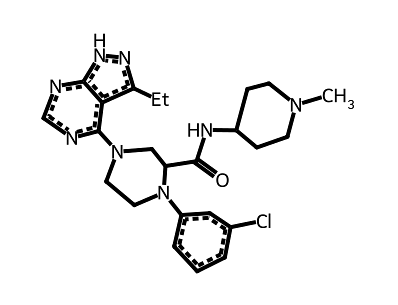 CCc1n[nH]c2ncnc(N3CCN(c4cccc(Cl)c4)C(C(=O)NC4CCN(C)CC4)C3)c12